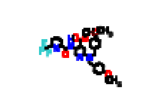 COC(=O)c1cc(N(Cc2ccc(OC)cc2)Cc2ccc(OC)cc2)ncc1NC(=O)c1cccc(C(F)(F)F)n1